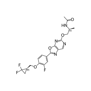 CC(=O)N[C@@H](C)COc1ncc2nc(-c3ccc(OC[C@H]4CC4(F)F)c(F)c3)oc2n1